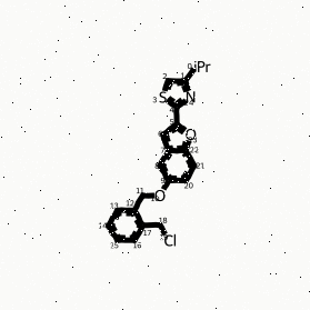 CC(C)c1csc(-c2cc3cc(OCc4ccccc4CCl)ccc3o2)n1